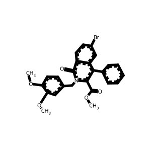 COC(=O)c1c(-c2ccccc2)c2cc(Br)ccc2c(=O)n1Cc1ccc(OC)c(OC)c1